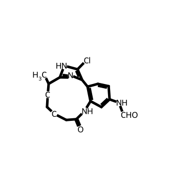 CC1CCCCC(=O)Nc2cc(NC=O)ccc2-c2nc1[nH]c2Cl